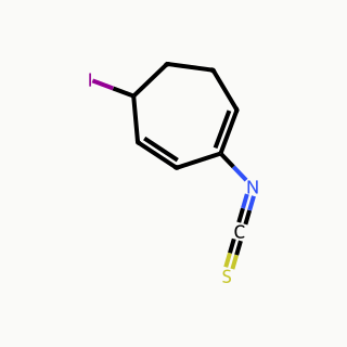 S=C=NC1=CCCC(I)C=C1